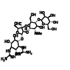 CN[C@@H]1[C@H](O[C@H]2[C@H](O[C@H]3[C@H](O)[C@@H](O)[C@H](NC(=N)N)[C@@H](O)[C@@H]3NC(=N)N)O[C@@H](C)[C@]2(O)C=O)O[C@@H](CO)[C@H](O[C@@H]2O[C@H](CO)[C@@H](O)[C@H](O)[C@@H]2O)[C@H]1O